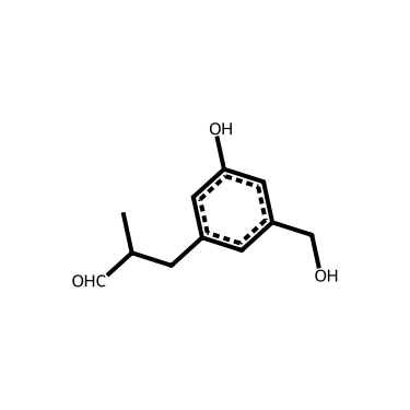 CC(C=O)Cc1cc(O)cc(CO)c1